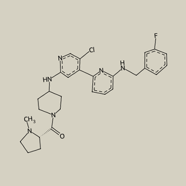 CN1CCC[C@H]1C(=O)N1CCC(Nc2cc(-c3cccc(NCc4cccc(F)c4)n3)c(Cl)cn2)CC1